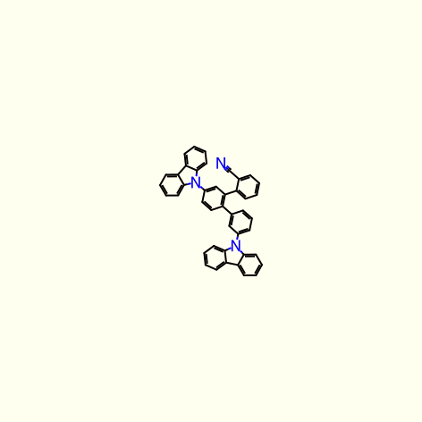 N#Cc1ccccc1-c1cc(-n2c3ccccc3c3ccccc32)ccc1-c1cccc(-n2c3ccccc3c3ccccc32)c1